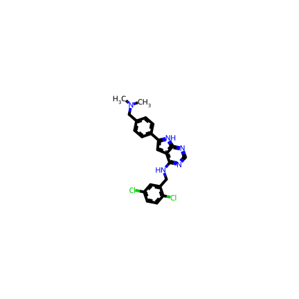 CN(C)Cc1ccc(-c2cc3c(NCc4cc(Cl)ccc4Cl)ncnc3[nH]2)cc1